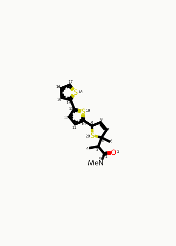 CNC(=O)C(C)C1(C)C=CC(c2ccc(-c3cccs3)s2)S1